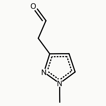 Cn1ccc(CC=O)n1